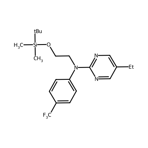 CCc1cnc(N(CCO[Si](C)(C)C(C)(C)C)c2ccc(C(F)(F)F)cc2)nc1